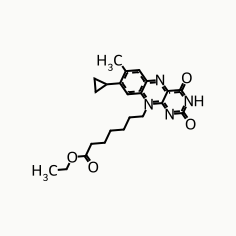 CCOC(=O)CCCCCCn1c2nc(=O)[nH]c(=O)c-2nc2cc(C)c(C3CC3)cc21